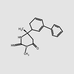 CN1C(=N)N[C@](C)(C2C=C(c3ccccc3)C=CC2)CC1=O